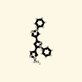 Pn1cc(-c2cc(-c3cnn(-c4ccccc4)c3)nn2-c2ccccc2)cn1